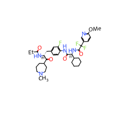 CCC(=O)N[C@H](Cc1ccc(NC(=O)[C@@H](NC(=O)C(F)(F)c2ccc(OC)nc2)C2CCCCC2)c(F)c1)C(=O)C1CCCN(C)CC1